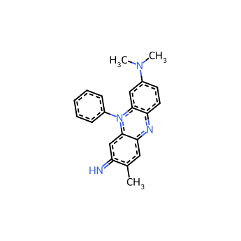 Cc1cc2nc3ccc(N(C)C)cc3n(-c3ccccc3)c-2cc1=N